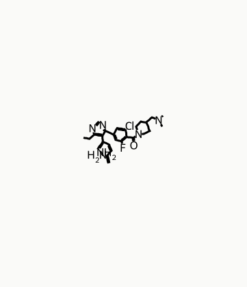 C=C(N)/C=C\C(=C/N)c1c(CC)ncnc1-c1cc(F)c(C(=O)N2CCC(CN(C)C)CC2)c(Cl)c1